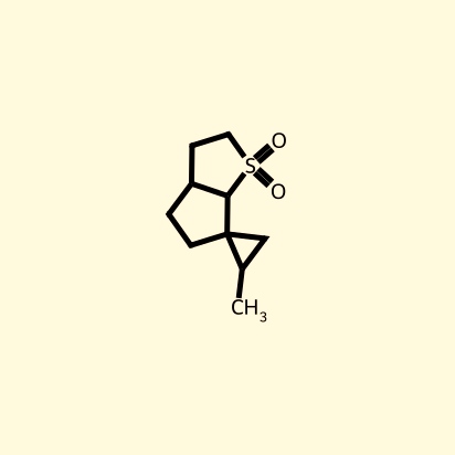 CC1CC12CCC1CCS(=O)(=O)C12